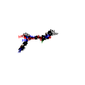 COc1cc(N2C(=O)C(C)(C)N(c3ccc(OCCOc4ccc(OCC(=O)N[C@H](C(=O)N5C[C@H](O)C[C@H]5C(=O)NCc5ccc(-c6scnc6C)cc5)C(C)(C)C)cc4)c(F)c3)C2=S)ccc1C#N